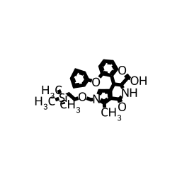 Cc1c2c(cn1COCC[Si](C)(C)C)C(c1ccccc1Oc1ccccc1)C(C(=O)O)NC2=O